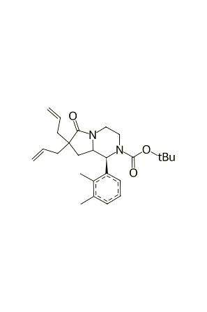 C=CCC1(CC=C)CC2[C@H](c3cccc(C)c3C)N(C(=O)OC(C)(C)C)CCN2C1=O